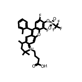 Cc1ccccc1C1=c2cc3c(cc2Oc2c1cc(F)c(OS(=O)(=O)C(F)(F)F)c2F)=[N+](CCCC(=O)O)C(C)(C)CC3C